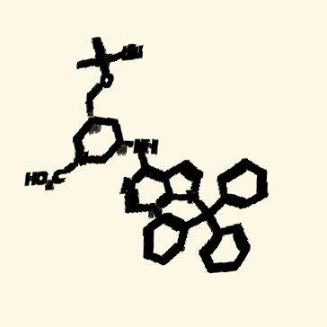 CC(C)(C)[Si](C)(C)OC[C@@H]1C[C@H](Nc2ncnc3c2ccn3C(c2ccccc2)(c2ccccc2)c2ccccc2)CN(C(=O)O)C1